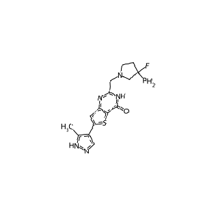 Cc1[nH]ncc1-c1cc2nc(CN3CCC(F)(P)C3)[nH]c(=O)c2s1